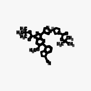 COc1cc2c(nc1-c1cccc3c1CCC3C#N)c(-c1cnn([C@H]3CCN(C(=O)OC(C)(C)C)C3)c1)nn2C(=O)OC(C)(C)C